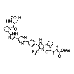 COC(=O)NC(C)C(=O)N1CCC[C@H]1c1nc(C(F)(F)F)c(-c2ccc(-c3ncc(-c4cnc(C5CCCN5C(=O)C(C)NC(=O)O)[nH]4)cn3)cc2)[nH]1